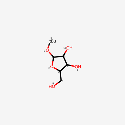 CC(C)(C)OC1OC(CO)C(O)C1O